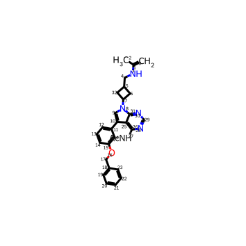 C=C(C)NCC1CC(n2cc(-c3cccc(OCc4ccccc4)c3)c3c(NC(C)=O)ncnc32)C1